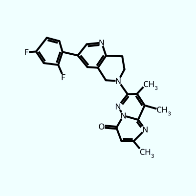 Cc1cc(=O)n2nc(N3CCc4ncc(-c5ccc(F)cc5F)cc4C3)c(C)c(C)c2n1